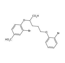 O=C(O)c1ccc(OC(CCCOc2ccccc2Br)C(=O)O)c(Br)c1